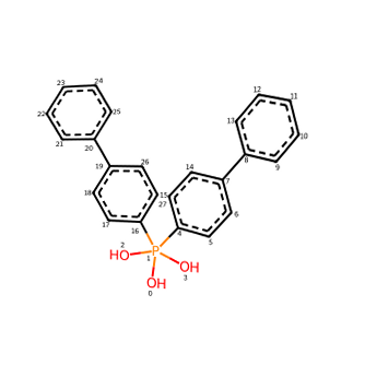 OP(O)(O)(c1ccc(-c2ccccc2)cc1)c1ccc(-c2ccccc2)cc1